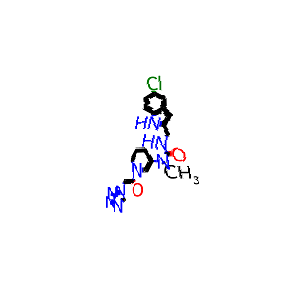 CN(C(=O)NCc1cc2cc(Cl)ccc2[nH]1)[C@@H]1CCCN(C(=O)Cn2cnnn2)C1